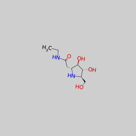 CCNC(=O)C[C@H]1N[C@H](CO)[C@@H](O)[C@@H]1O